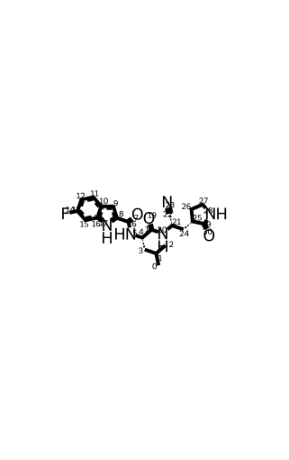 CC(C)C[C@H](NC(=O)c1cc2ccc(F)cc2[nH]1)C(=O)N[C@H](C#N)C[C@@H]1CCNC1=O